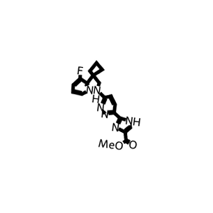 COC(=O)c1c[nH]c(-c2ccc(NCC3(c4ncccc4F)CCC3)nn2)n1